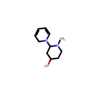 CN1CCC(O)CC1N1C=CC=CC1